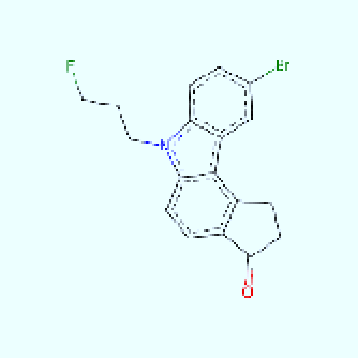 O=C1CCc2c1ccc1c2c2cc(Br)ccc2n1CCCF